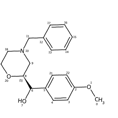 COc1ccc(C(O)[C@@H]2CN(Cc3ccccc3)CCO2)cc1